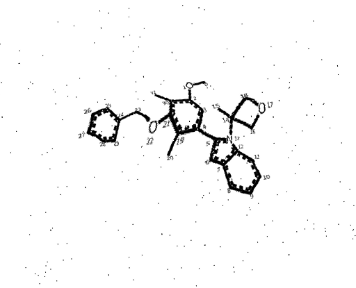 COc1cc(-c2cc3ccccc3n2C2(C)COC2)c(C)c(OCc2ccccc2)c1C